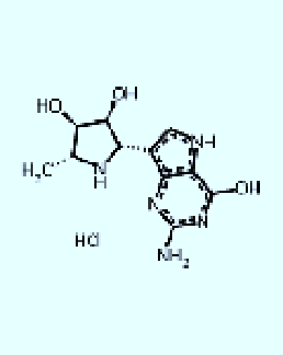 C[C@H]1N[C@@H](c2c[nH]c3c(O)nc(N)nc23)[C@H](O)[C@@H]1O.Cl